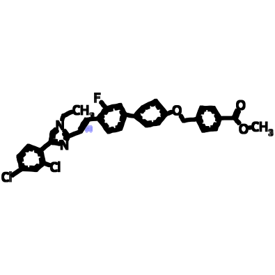 CCn1cc(-c2ccc(Cl)cc2Cl)nc1/C=C/c1ccc(-c2ccc(OCc3ccc(C(=O)OC)cc3)cc2)cc1F